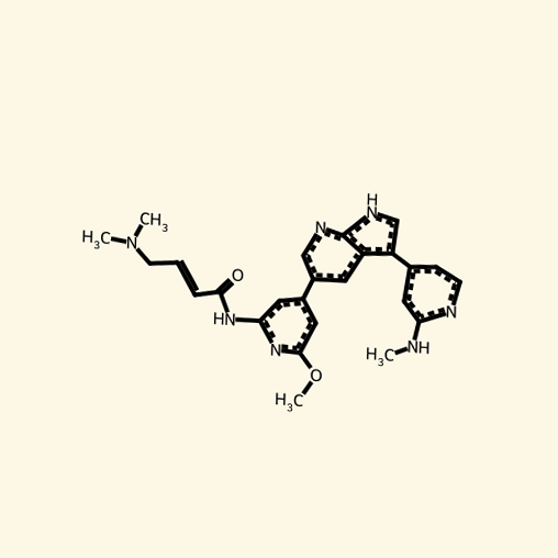 CNc1cc(-c2c[nH]c3ncc(-c4cc(NC(=O)C=CCN(C)C)nc(OC)c4)cc23)ccn1